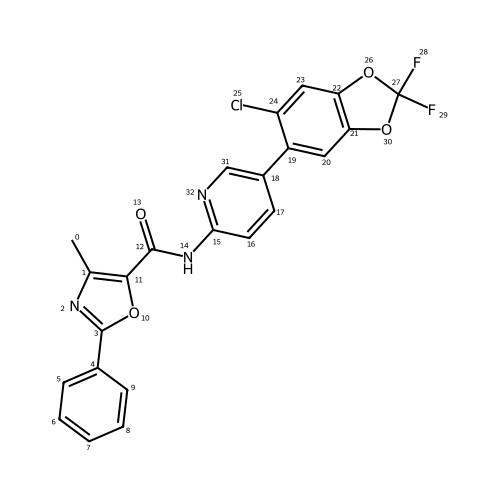 Cc1nc(-c2ccccc2)oc1C(=O)Nc1ccc(-c2cc3c(cc2Cl)OC(F)(F)O3)cn1